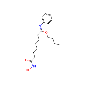 CCCCO/C(CCCCCCC(=O)NO)=N\c1ccccc1